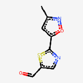 Cc1cc(-c2ncc(C=O)s2)on1